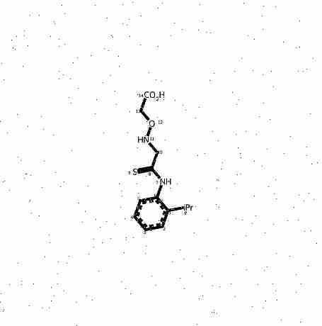 CC(C)c1ccccc1NC(=S)CNOCC(=O)O